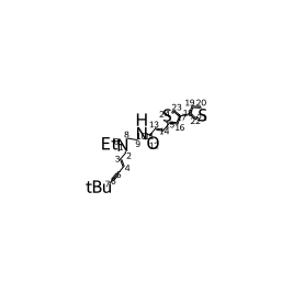 CCN(C/C=C/C#CC(C)(C)C)CCNC(=O)/C=C/c1cc(-c2ccsc2)cs1